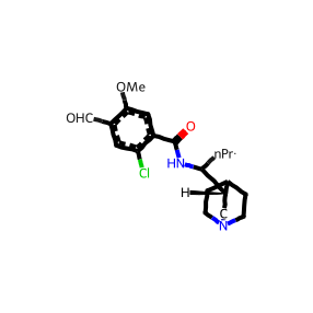 CC[CH]C(NC(=O)c1cc(OC)c(C=O)cc1Cl)[C@H]1CN2CCC1CC2